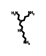 NCCCNCCN(CCN)CCCN